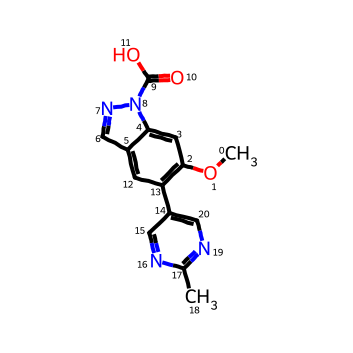 COc1cc2c(cnn2C(=O)O)cc1-c1cnc(C)nc1